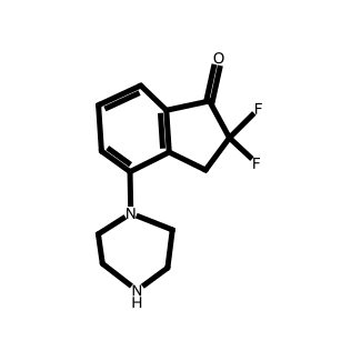 O=C1c2cccc(N3CCNCC3)c2CC1(F)F